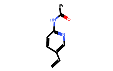 C=Cc1ccc(NC(=O)C(C)C)nc1